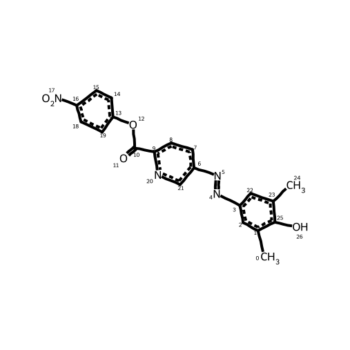 Cc1cc(/N=N/c2ccc(C(=O)Oc3ccc([N+](=O)[O-])cc3)nc2)cc(C)c1O